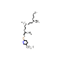 C/C(=C\CSc1ccc(C(=O)O)cn1)CCCC(C)CCCC(C)CCCC(C)C